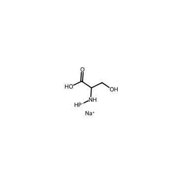 O=C(O)C(CO)N[PH-].[Na+]